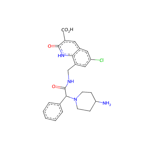 NC1CCN(C(C(=O)NCc2cc(Cl)cc3cc(C(=O)O)c(=O)[nH]c23)c2ccccc2)CC1